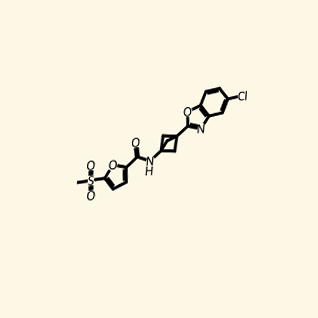 CS(=O)(=O)c1ccc(C(=O)NC23CC(c4nc5cc(Cl)ccc5o4)(C2)C3)o1